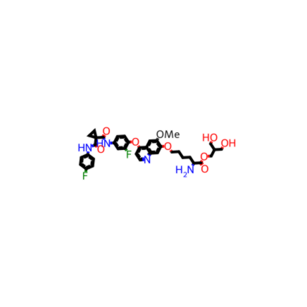 COc1cc2c(Oc3ccc(NC(=O)C4(C(=O)Nc5ccc(F)cc5)CC4)cc3F)ccnc2cc1OCCCCC(N)C(=O)OCC(CO)CO